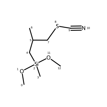 CO[Si](C)(CC(C)CSC#N)OC